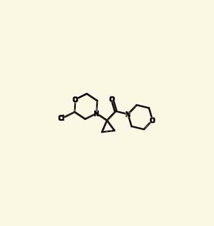 O=C(N1CCOCC1)C1(N2CCOC(Cl)C2)CC1